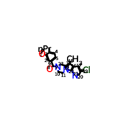 CCCOc1cccc(C(=O)N2CCn3c(c(C)c4cc(Cl)cnc43)C2)c1